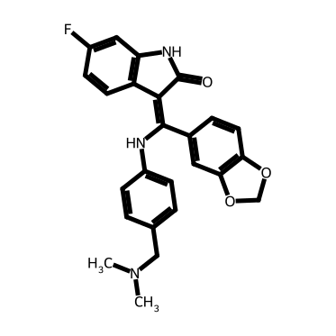 CN(C)Cc1ccc(NC(=C2C(=O)Nc3cc(F)ccc32)c2ccc3c(c2)OCO3)cc1